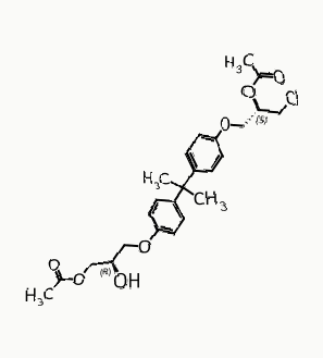 CC(=O)OC[C@H](O)COc1ccc(C(C)(C)c2ccc(OC[C@@H](CCl)OC(C)=O)cc2)cc1